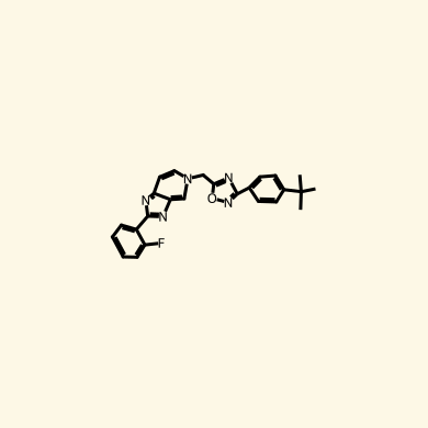 CC(C)(C)c1ccc(-c2noc(Cn3ccc4nc(-c5ccccc5F)nc-4c3)n2)cc1